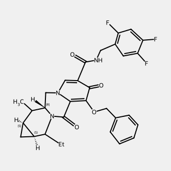 CCC1[C@H]2C[C@H]2C(C)[C@@H]2Cn3cc(C(=O)NCc4cc(F)c(F)cc4F)c(=O)c(OCc4ccccc4)c3C(=O)N12